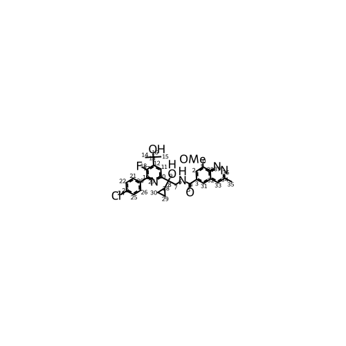 COc1cc(C(=O)NCC(O)(c2cc(C(C)(C)O)c(F)c(-c3ccc(Cl)cc3)n2)C2CC2)cc2cc(C)nnc12